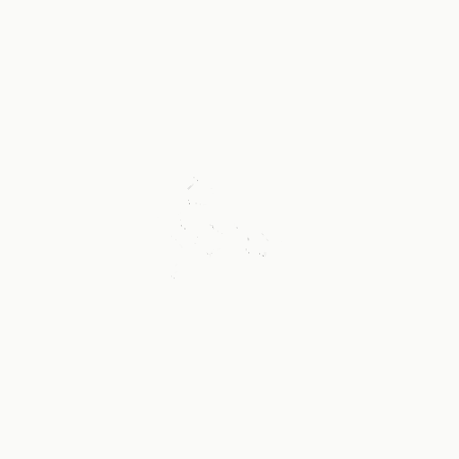 CC(c1cccnc1F)n1nc(C#N)c2ncc(Nc3cc(OC(F)F)[nH]n3)nc21